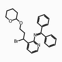 BrC(CCOC1CCCCO1)c1cccnc1N=C(c1ccccc1)c1ccccc1